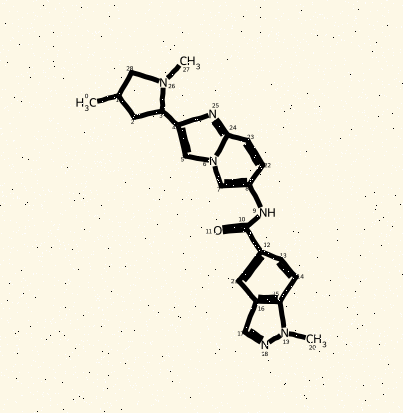 CC1CC(c2cn3cc(NC(=O)c4ccc5c(cnn5C)c4)ccc3n2)N(C)C1